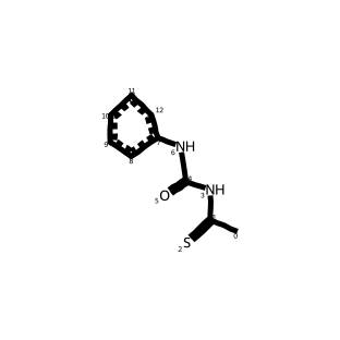 CC(=S)NC(=O)Nc1ccccc1